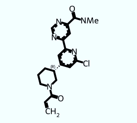 C=CC(=O)N1CCC[C@H](c2cc(Cl)nc(-c3cc(C(=O)NC)ncn3)c2)C1